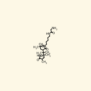 CC(CC(C)(C)C(C)(C)C(CC(C)(C)C)C(=O)NCCCCCNC(=O)CN)C(N)=O